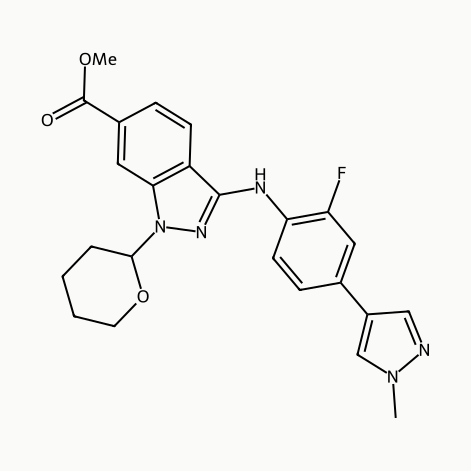 COC(=O)c1ccc2c(Nc3ccc(-c4cnn(C)c4)cc3F)nn(C3CCCCO3)c2c1